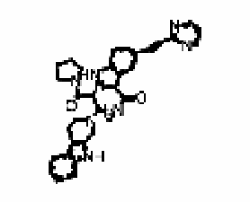 NC(=O)C1c2cc(C#Cc3ncccn3)ccc2NN1C(C(=O)N1CCCC1)C(=O)N1CCc2c([nH]c3ccccc23)C1